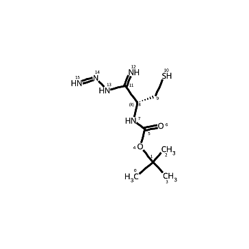 CC(C)(C)OC(=O)N[C@@H](CS)C(=N)NN=N